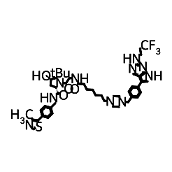 Cc1ncsc1-c1ccc(CNC(=O)[C@@H]2C[C@@H](O)CN2C(=O)[C@@H](NC(=O)CCCCCCN2CCN(Cc3ccc(-c4c[nH]c5nc(NCCC(F)(F)F)ncc45)cc3)CC2)C(C)(C)C)cc1